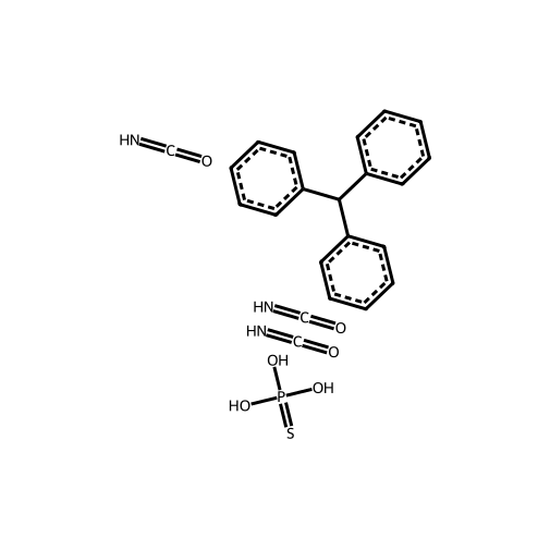 N=C=O.N=C=O.N=C=O.OP(O)(O)=S.c1ccc(C(c2ccccc2)c2ccccc2)cc1